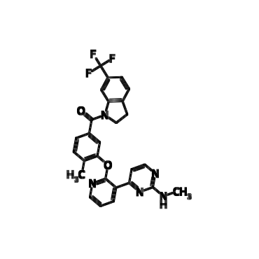 CNc1nccc(-c2cccnc2Oc2cc(C(=O)N3CCc4ccc(C(F)(F)F)cc43)ccc2C)n1